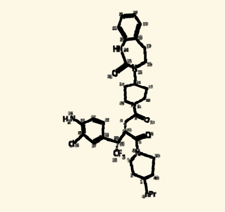 CCCC1CCN(C(=O)[C@@H](CC(=O)N2CCC(N3CCc4ccccc4NC3=O)CC2)[C@@H](c2ccc(N)c(Cl)c2)C(F)(F)F)CC1